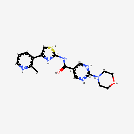 Cc1ncccc1-c1csc(NC(=O)c2cnc(N3CCOCC3)nc2)n1